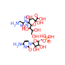 NCC(=O)N[C@@]1(N)[C@@H](O)C[C@@](O)(C(=O)O)O[C@H]1[C@H](O)[C@H](O)CO.Nc1ccn([C@@H]2O[C@H](COP(=O)(O)O)[C@@H](O)[C@H]2O)c(=O)n1